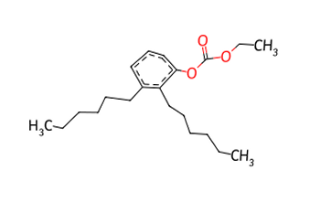 CCCCCCc1cccc(OC(=O)OCC)c1CCCCCC